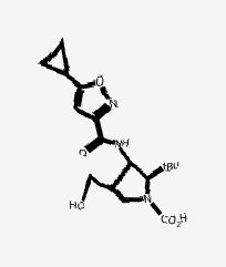 CC(C)(C)C1C(NC(=O)c2cc(C3CC3)on2)C(CO)CN1C(=O)O